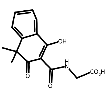 CC1(C)C(=O)C(C(=O)NCC(=O)O)=C(O)c2ccccc21